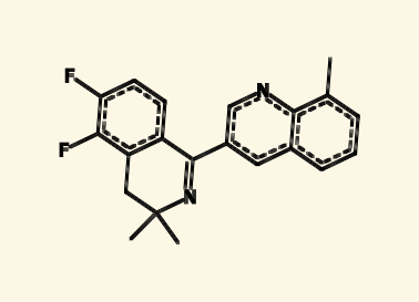 Cc1cccc2cc(C3=NC(C)(C)Cc4c3ccc(F)c4F)cnc12